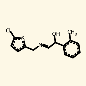 Cc1ccccc1C(O)/C=N/Cc1ccc(Cl)s1